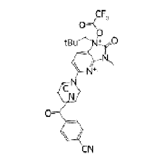 CN1C(=O)[N+](CC(C)(C)C)(OC(=O)C(F)(F)F)C2=CC=C(N3CC4CCC3CN4C(=O)c3ccc(C#N)cc3)[N+]=C21